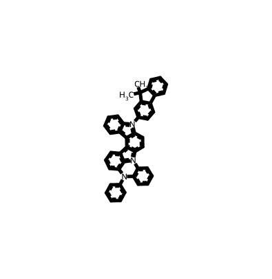 CC1(C)c2ccccc2-c2ccc(-n3c4ccccc4c4c5c6cccc7c6n(c5ccc43)-c3ccccc3N7c3ccccc3)cc21